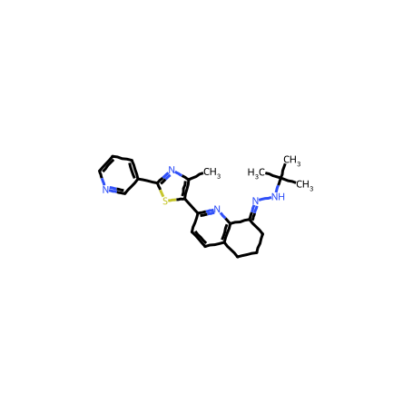 Cc1nc(-c2cccnc2)sc1-c1ccc2c(n1)/C(=N/NC(C)(C)C)CCC2